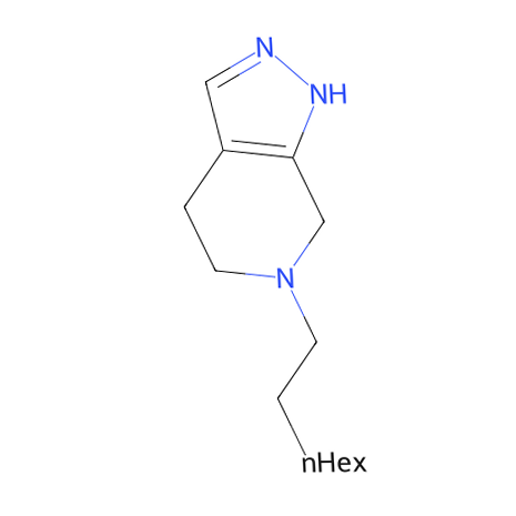 CCCCCCCCN1CCc2cn[nH]c2C1